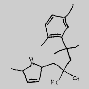 Cc1ccc(F)cc1C(C)(C)CC(O)(CC1C=CC(C)N1)C(F)(F)F